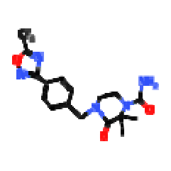 CC1(C)C(=O)N(Cc2ccc(-c3noc(C(F)(F)F)n3)cc2)CCN1C(N)=O